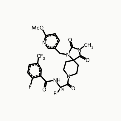 COc1ccc(CN2C(=O)N(C)C(=O)C23CCN(C(=O)[C@H](NC(=O)c2cc(C(F)(F)F)ccc2F)C(C)C)CC3)cn1